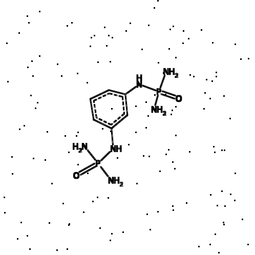 NP(N)(=O)Nc1cccc(NP(N)(N)=O)c1